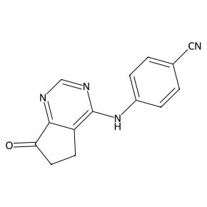 N#Cc1ccc(Nc2ncnc3c2CCC3=O)cc1